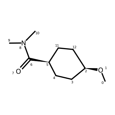 CO[C@H]1CC[C@@H](C(=O)N(C)C)CC1